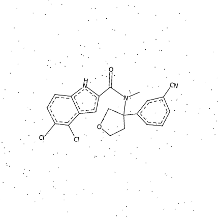 CN(C(=O)c1cc2c(Cl)c(Cl)ccc2[nH]1)C1(c2cccc(C#N)c2)CCOC1